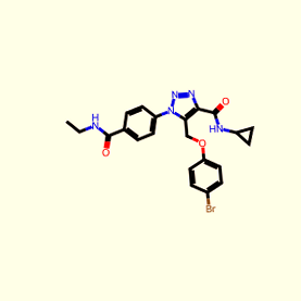 CCNC(=O)c1ccc(-n2nnc(C(=O)NC3CC3)c2COc2ccc(Br)cc2)cc1